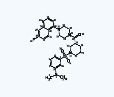 CN(C)c1cccc(S(=O)(=O)N2CCCC(C(=O)N3CCN(c4ccnc5cc(F)ccc45)CC3)C2)c1